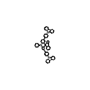 c1ccc(N2c3ccc(-c4ccc(-n5c6ccccc6c6ccccc65)cc4)cc3C3(c4ccccc4-c4ccccc43)c3cc(-c4ccc(-n5c6ccccc6c6ccccc65)cc4)ccc32)cc1